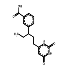 NCC(CCc1cc(=O)[nH]c(=O)[nH]1)c1cccc(C(=O)O)c1